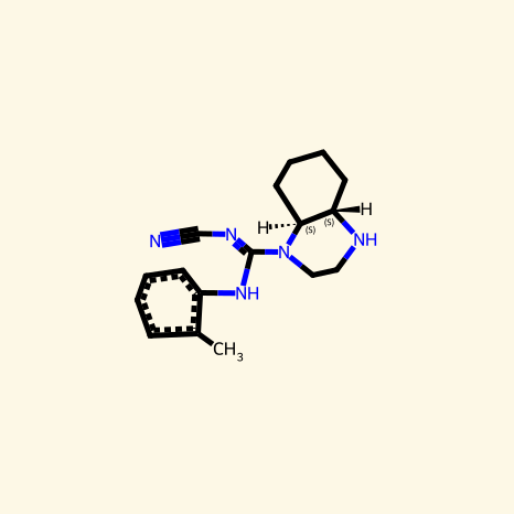 Cc1ccccc1NC(=NC#N)N1CCN[C@H]2CCCC[C@@H]21